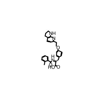 Cc1ccccc1C(=O)N[C@@H](Cc1ccc(OCCc2ccc3c(n2)NCCC3)cc1)C(=O)O